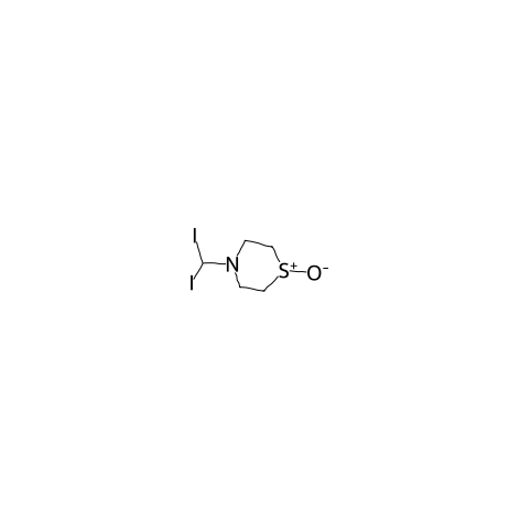 [O-][S+]1CCN(C(I)I)CC1